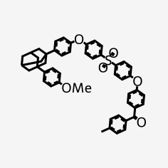 COc1ccc(C23CC4CC(C2)CC(c2ccc(Oc5ccc(S(=O)(=O)c6ccc(Oc7ccc(C(=O)c8ccc(C)cc8)cc7)cc6)cc5)cc2)(C4)C3)cc1